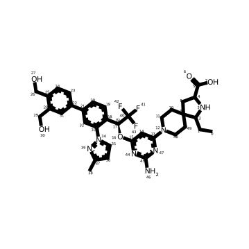 CCC1NC(C(=O)O)CC12CCN(c1cc(O[C@@H](c3ccc(-c4ccc(CO)c(CO)c4)cc3-n3ccc(C)n3)C(F)(F)F)nc(N)n1)CC2